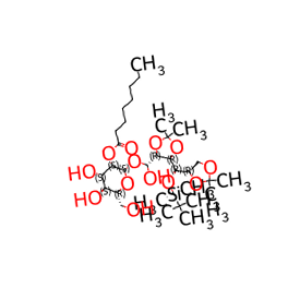 CCCCCCCC(=O)O[C@@H]1[C@H](OC(O)[C@@H]2OC(C)(C)O[C@H]2[C@H](O[Si](C)(C)C(C)(C)C)[C@H]2COC(C)(C)O2)O[C@H](CO)[C@@H](O)[C@@H]1O